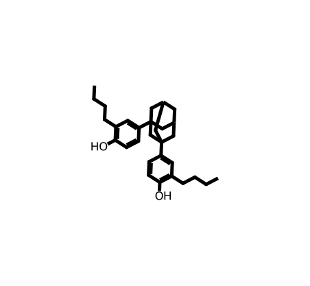 CCCCc1cc(C23CC4CC(C2)CC(c2ccc(O)c(CCCC)c2)(C4)C3)ccc1O